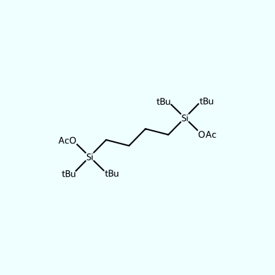 CC(=O)O[Si](CCCC[Si](OC(C)=O)(C(C)(C)C)C(C)(C)C)(C(C)(C)C)C(C)(C)C